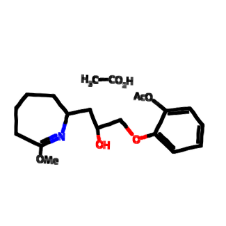 CC(=O)O.COC1=NC(CC(O)COc2ccccc2OC(C)=O)CCCC1